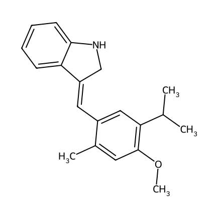 COc1cc(C)c(C=C2CNc3ccccc32)cc1C(C)C